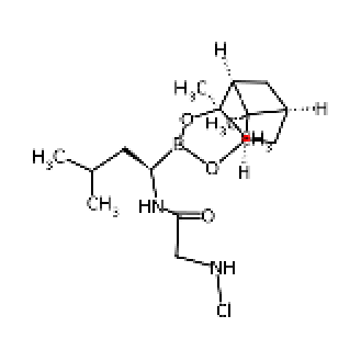 CC(C)C[C@H](NC(=O)CNCl)B1O[C@@H]2C[C@@H]3C[C@@H](C3(C)C)[C@]2(C)O1